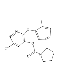 Cc1ccccc1Oc1nnc(Cl)cc1OC(=O)N1CCCC1